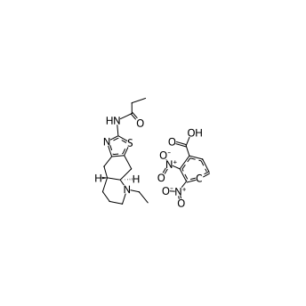 CCC(=O)Nc1nc2c(s1)C[C@@H]1[C@H](CCCN1CC)C2.O=C(O)c1cccc([N+](=O)[O-])c1[N+](=O)[O-]